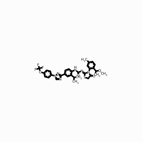 COC(C)c1ccc(C)cc1N1C(=O)CS/C1=N\C(=O)Nc1ccc(-c2ncn(-c3ccc(OC(F)(F)F)cc3)n2)cc1C(C)C